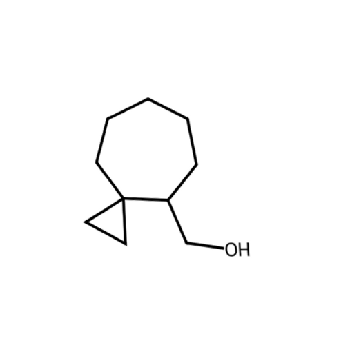 OCC1CCCCCC12CC2